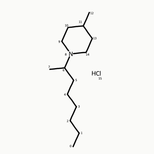 CCCCCCC(C)N1CCC(C)CC1.Cl